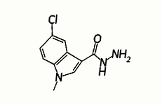 Cn1cc(C(=O)NN)c2cc(Cl)ccc21